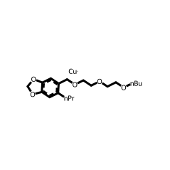 CCCCOCCOCCOCc1cc2c(cc1CCC)OCO2.[Cu]